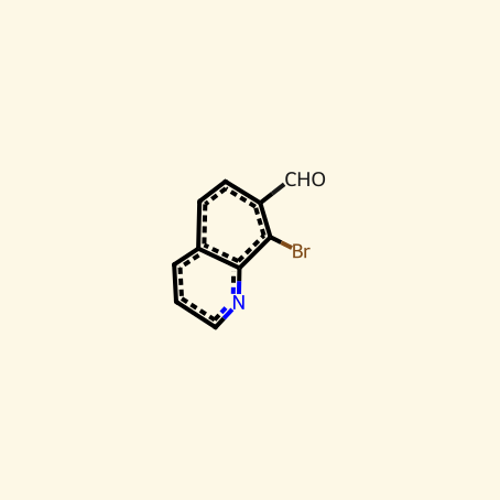 O=Cc1ccc2cccnc2c1Br